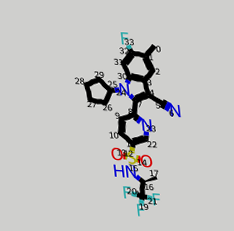 Cc1cc2c(C#N)c(-c3ccc(S(=O)(=O)N[C@@H](C)C(F)(F)F)cn3)n(C3CCCC3)c2cc1F